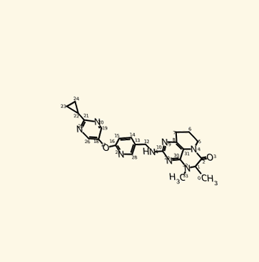 CC1C(=O)N2CCCc3nc(NCc4ccc(Oc5cnc(C6CC6)nc5)nc4)nc(c32)N1C